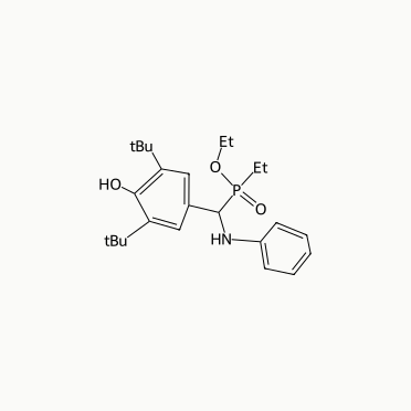 CCOP(=O)(CC)C(Nc1ccccc1)c1cc(C(C)(C)C)c(O)c(C(C)(C)C)c1